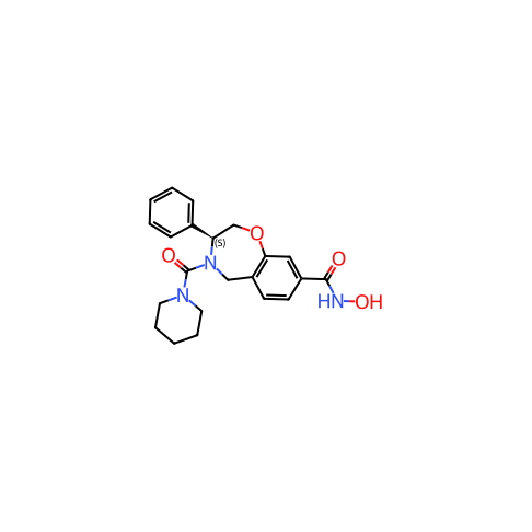 O=C(NO)c1ccc2c(c1)OC[C@H](c1ccccc1)N(C(=O)N1CCCCC1)C2